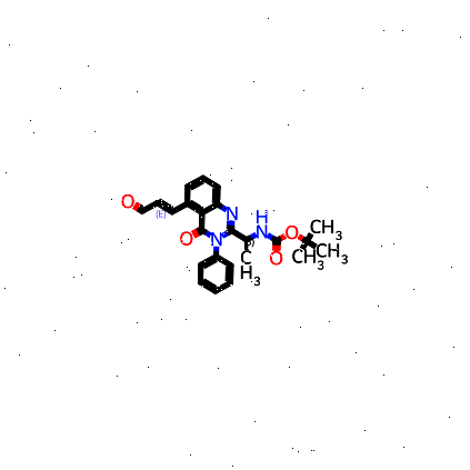 C[C@H](NC(=O)OC(C)(C)C)c1nc2cccc(/C=C/C=O)c2c(=O)n1-c1ccccc1